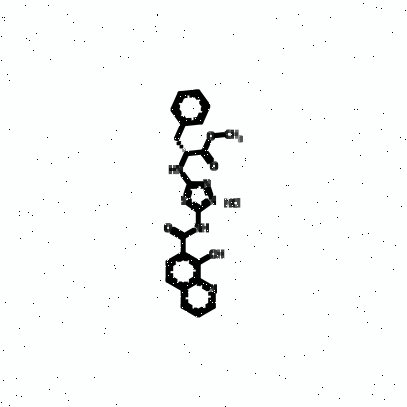 COC(=O)[C@@H](Cc1ccccc1)Nc1nnc(NC(=O)c2ccc3cccnc3c2O)s1.Cl